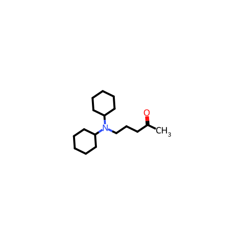 CC(=O)CCCN(C1CCCCC1)C1CCCCC1